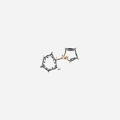 [C]1=CC=C[SH]1c1ccccc1